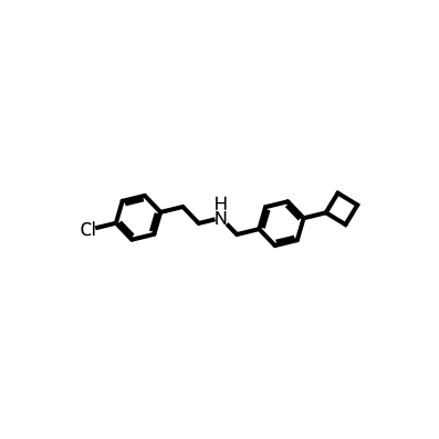 Clc1ccc(CCNCc2ccc(C3CCC3)cc2)cc1